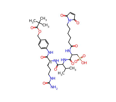 CC(C)C(NC(=O)C(CS(=O)(=O)O)NC(=O)CCCCCN1C(=O)C=CC1=O)C(=O)N[C@@H](CCCNC(N)=O)C(=O)Nc1ccc(COC(=O)C(C)(C)C)cc1